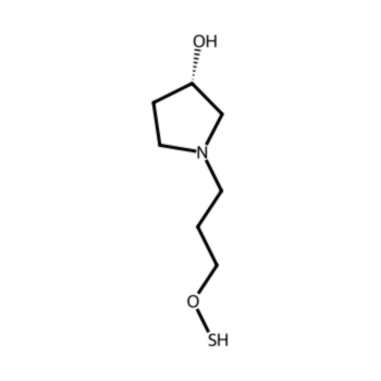 O[C@H]1CCN(CCCOS)C1